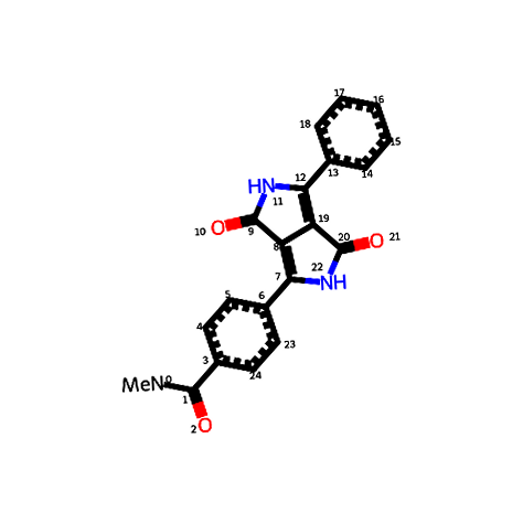 CNC(=O)c1ccc(C2=C3C(=O)NC(c4ccccc4)=C3C(=O)N2)cc1